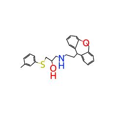 Cc1cccc(SCC(O)CNCCC2c3ccccc3COc3ccccc32)c1